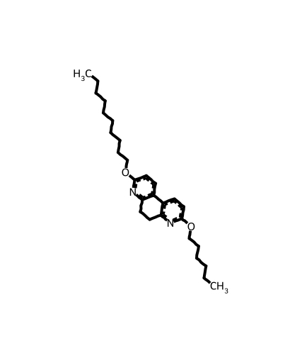 CCCCCCCCCCOc1ccc2c(n1)CCc1nc(OCCCCCC)ccc1-2